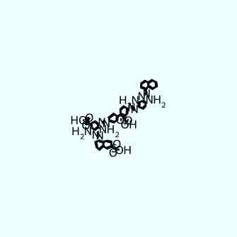 Nc1ccc(N=Nc2ccc(-c3ccc(N=Nc4cc(S(=O)(=O)O)c(N)c(N=Nc5cccc6cc(S(=O)(=O)O)ccc56)c4N)cc3)c(S(=O)(=O)O)c2)c(N)c1N=Nc1cccc2ccccc12